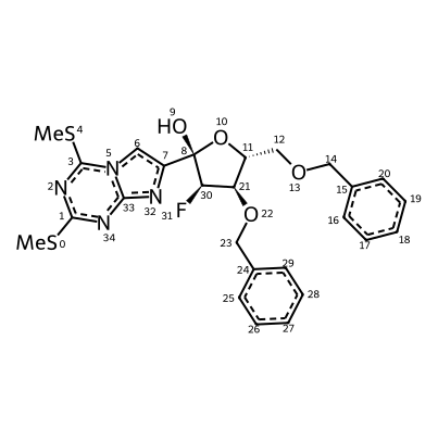 CSc1nc(SC)n2cc([C@]3(O)O[C@H](COCc4ccccc4)[C@@H](OCc4ccccc4)[C@H]3F)nc2n1